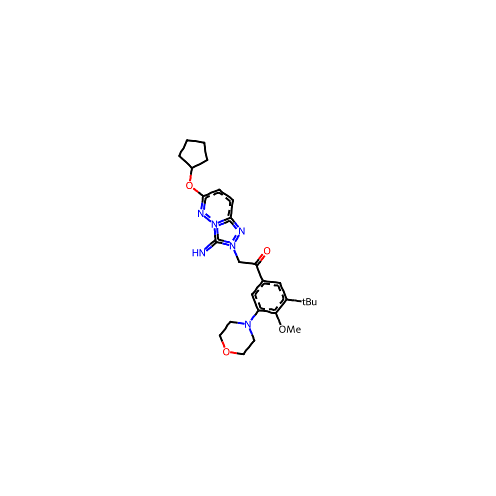 COc1c(N2CCOCC2)cc(C(=O)Cn2nc3ccc(OC4CCCC4)nn3c2=N)cc1C(C)(C)C